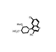 CO[C@@H]1CN(c2c(C#N)cnc3ccc(Cl)cc23)CC[C@@H]1C(=O)O